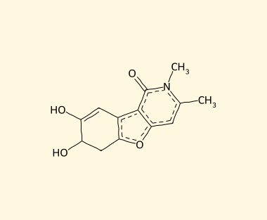 Cc1cc2oc3c(c2c(=O)n1C)C=C(O)C(O)C3